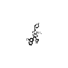 CN1CCN(CCOc2nc(-c3cc(Cl)c4ncccc4c3)c(-c3ccn(C)n3)nc2N)CC1